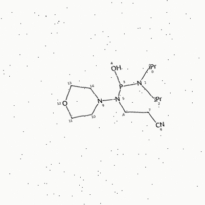 CC(C)N(C(C)C)P(O)N(CCC#N)N1CCOCC1